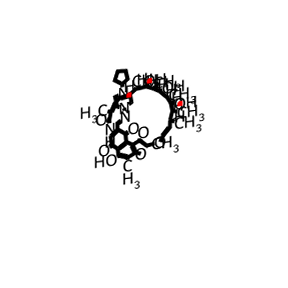 C/C1=C/C=C/[C@H](C)[C@H](O)[C@@H](C)[C@@H](O)[C@@H](C)[C@H](O)[C@H](C)[C@@H](C)/C=C/O[C@@]2(C)Oc3c(C)c(O)c4c(c3C2=O)C(=O)C(/C=N/N2CCN(C3CCCC3)CC2)=C(NC1=O)C4=O